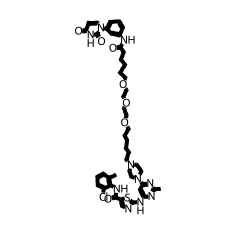 Cc1nc(Nc2ncc(C(=O)Nc3c(C)cccc3Cl)s2)cc(N2CCN(CCCCCCOCCOCCOCCCCCC(=O)Nc3cccc(-n4ccc(=O)[nH]c4=O)c3)CC2)n1